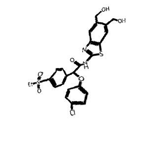 CCS(=O)(=O)c1ccc(C(Oc2ccc(Cl)cc2)C(=O)Nc2nc3cc(CO)c(CO)cc3s2)cc1